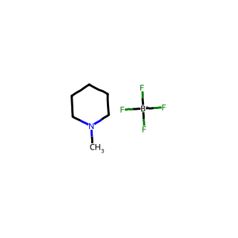 CN1CCCCC1.F[B-](F)(F)F